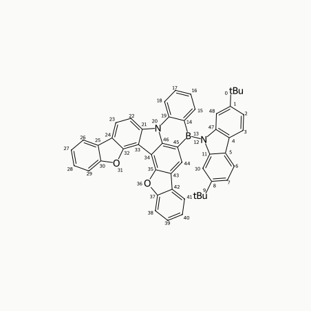 CC(C)(C)c1ccc2c3ccc(C(C)(C)C)cc3n(B3c4ccccc4-n4c5ccc6c7ccccc7oc6c5c5c6oc7ccccc7c6cc3c54)c2c1